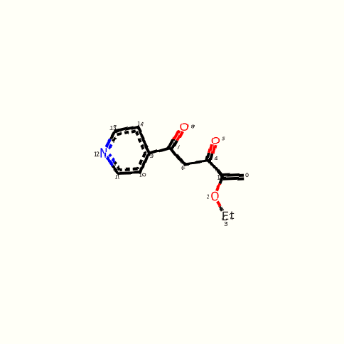 C=C(OCC)C(=O)CC(=O)c1ccncc1